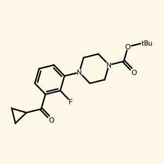 CC(C)(C)OC(=O)N1CCN(c2cccc(C(=O)C3CC3)c2F)CC1